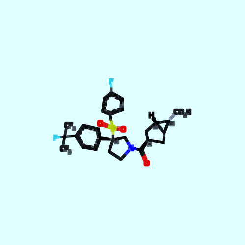 O=C(O)[C@@H]1C2C[C@@H](C(=O)N3CC[C@](c4ccc(C(F)(C(F)(F)F)C(F)(F)F)cc4)(S(=O)(=O)c4ccc(F)cc4)C3)C[C@@H]21